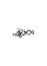 COC1CCC(N2CCC(N(C(=O)O)C(C)(C)C)CC2)CC1